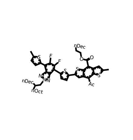 CCCCCCCCCCCCOC(=O)c1c2cc(C)sc2c(C(C)=O)c2cc(-c3ccc(-c4c(F)c(F)c(-c5ccc(C)s5)c5nn(CC(CCCCCCCC)CCCCCCCCCC)nc45)s3)sc12